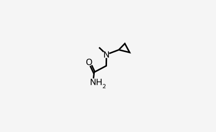 CN(CC(N)=O)C1CC1